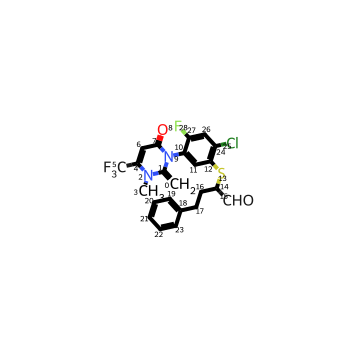 C=C1N(C)C(C(F)(F)F)=CC(=O)N1c1cc(SC(C=O)CCc2ccccc2)c(Cl)cc1F